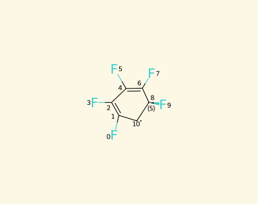 FC1=C(F)C(F)=C(F)[C@@H](F)[CH]1